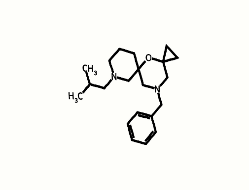 CC(C)CN1CCCC2(C1)CN(Cc1ccccc1)CC1(CC1)O2